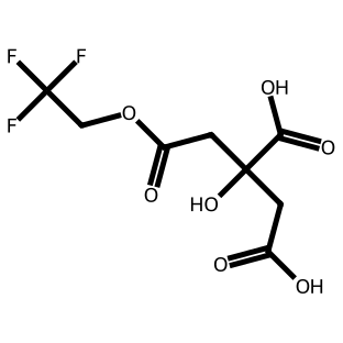 O=C(O)CC(O)(CC(=O)OCC(F)(F)F)C(=O)O